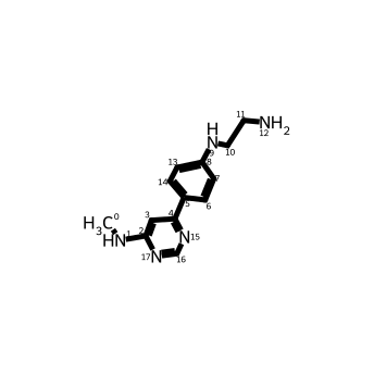 CNc1cc(-c2ccc(NCCN)cc2)ncn1